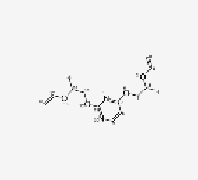 C=COC(C)COc1ccnc(OCC(C)OC=C)n1